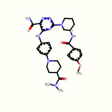 COc1ccc(C(=O)N[C@@H]2CCCN(c3nnc(C(N)=O)c(Nc4ccc(N5CCC(C(=O)N(C)C)CC5)cc4)n3)C2)cc1